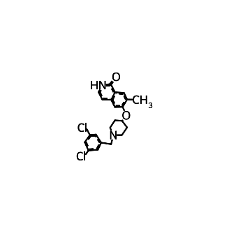 Cc1cc2c(=O)[nH]ccc2cc1OC1CCN(Cc2cc(Cl)cc(Cl)c2)CC1